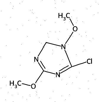 COC1=NCN(OC)C(Cl)=N1